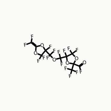 O=C(F)C1(C(F)(F)F)OC(F)(F)C(F)(C(F)(F)OC(F)(F)C2(F)OC(=C(F)F)OC2(F)F)O1